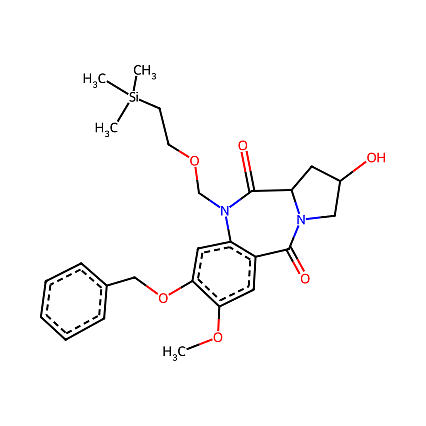 COc1cc2c(cc1OCc1ccccc1)N(COCC[Si](C)(C)C)C(=O)C1CC(O)CN1C2=O